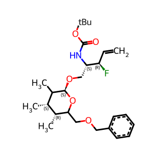 C=C[C@@H](F)[C@H](CO[C@H]1OC(COCc2ccccc2)[C@H](C)[C@H](C)C1C)NC(=O)OC(C)(C)C